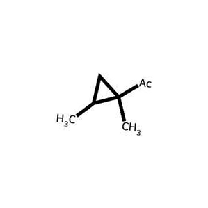 CC(=O)C1(C)CC1C